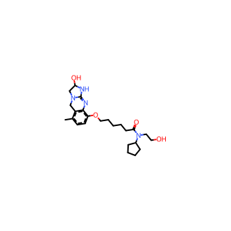 Cc1ccc(OCCCCCC(=O)N(CCO)C2CCCC2)c2c1CN1CC(O)NC1=N2